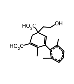 CC1=C(C(=O)O)CC(CCO)(C(=O)O)C=C1c1c(C)cccc1C